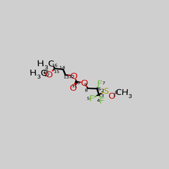 COSC(F)(F)C(F)COC(=O)OCCC(C)OC